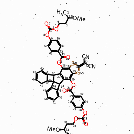 COC(C)CCOC(=O)Oc1ccc(C(=O)Oc2c3c(c(OC(=O)c4ccc(OC(=O)OCCC(C)OC)cc4)c4c2C2C5=CC=CCC5C25c2ccccc2C45)SC(=C(C#N)C#N)S3)cc1